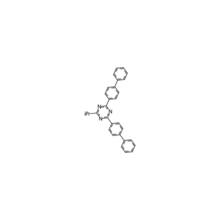 CC(C)c1nc(-c2ccc(-c3ccccc3)cc2)nc(-c2ccc(-c3ccccc3)cc2)n1